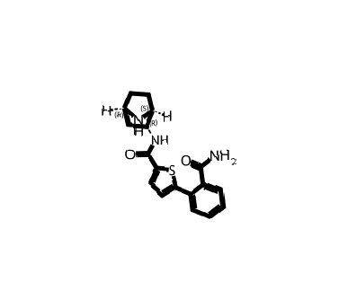 NC(=O)c1ccccc1-c1ccc(C(=O)N[C@@H]2C[C@H]3CC[C@@H]2N3)s1